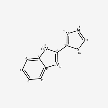 c1ccc2[nH]c(-c3nncs3)nc2c1